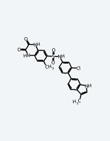 Cc1cc2[nH]c(=O)c(=O)[nH]c2cc1S(=O)(=O)Nc1ccc(-c2ccc3c(C)c[nH]c3c2)c(Cl)c1